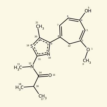 COC1=CC(O)=CC=C(c2nc(N(C)C(=O)C(C)C)sc2C)C1